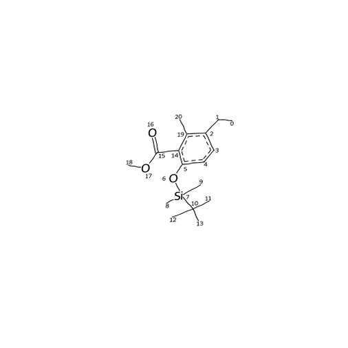 CCc1ccc(O[Si](C)(C)C(C)(C)C)c(C(=O)OC)c1C